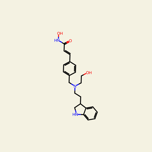 O=C(/C=C/c1ccc(CN(CCO)CCC2CNc3ccccc32)cc1)NO